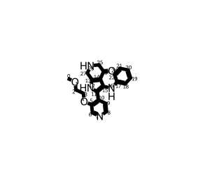 COCCOc1cnccc1-c1[nH]c2c(c1Nc1ccccc1)C(=O)CNC2